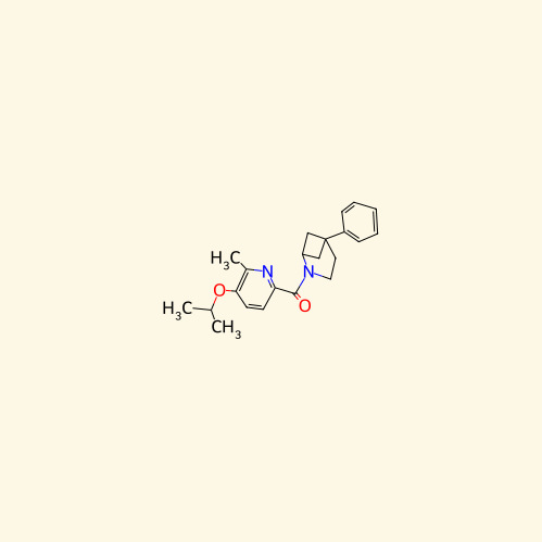 Cc1nc(C(=O)N2CCC3(c4ccccc4)CC2C3)ccc1OC(C)C